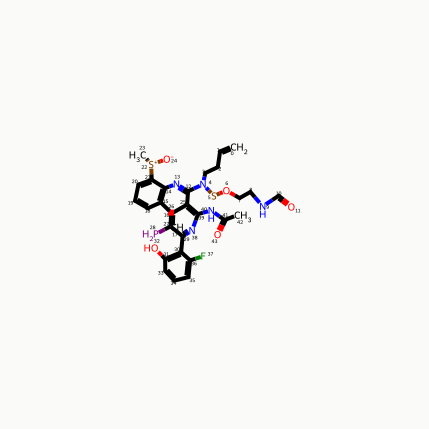 C=CCCN(SOCCNC=O)/C(=N/c1c(CC)cccc1[S+](C)[O-])c1cc(P)c(-c2c(O)cccc2F)nc1NC(C)=O